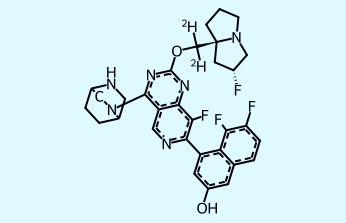 [2H]C([2H])(Oc1nc(N2CC3CCC2CN3)c2cnc(-c3cc(O)cc4ccc(F)c(F)c34)c(F)c2n1)[C@@]12CCCN1C[C@H](F)C2